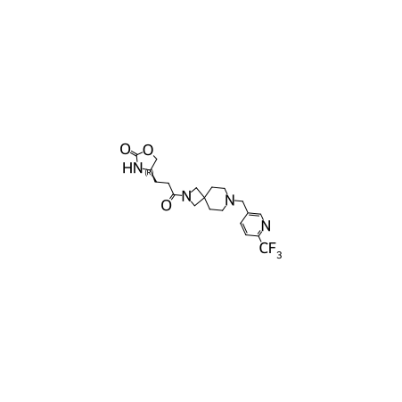 O=C1N[C@H](CCC(=O)N2CC3(CCN(Cc4ccc(C(F)(F)F)nc4)CC3)C2)CO1